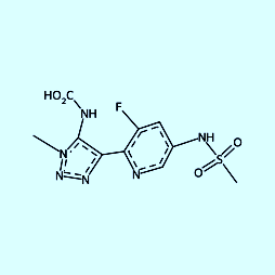 Cn1nnc(-c2ncc(NS(C)(=O)=O)cc2F)c1NC(=O)O